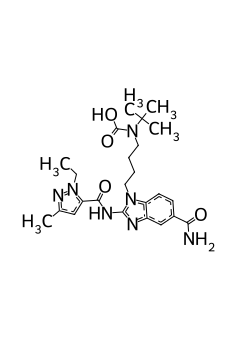 CCn1nc(C)cc1C(=O)Nc1nc2cc(C(N)=O)ccc2n1CCCCN(C(=O)O)C(C)(C)C